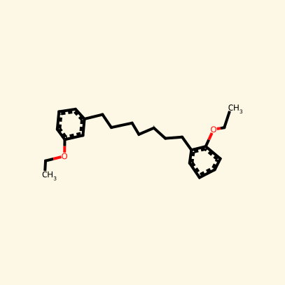 CCOc1cccc(CCCC[CH]CCc2ccccc2OCC)c1